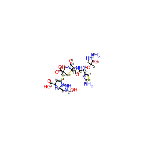 CC(C)(ON=C(C(=O)NC1C(=O)N2CC(CSC3=CC(C(=O)O)=NC4=CN(CO)NN43)(C(=O)O)CS[C@H]12)c1csc(N)n1)C(=O)NN